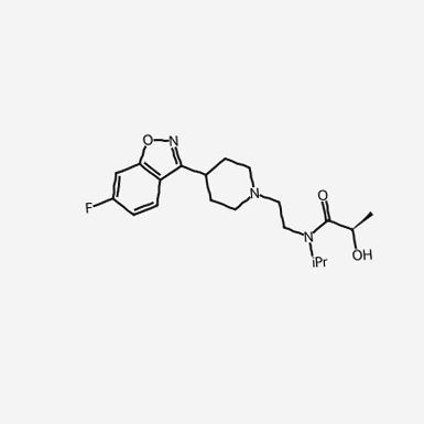 CC(C)N(CCN1CCC(c2noc3cc(F)ccc23)CC1)C(=O)[C@@H](C)O